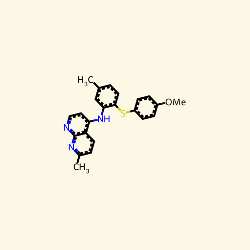 COc1ccc(Sc2ccc(C)cc2Nc2ccnc3nc(C)ccc23)cc1